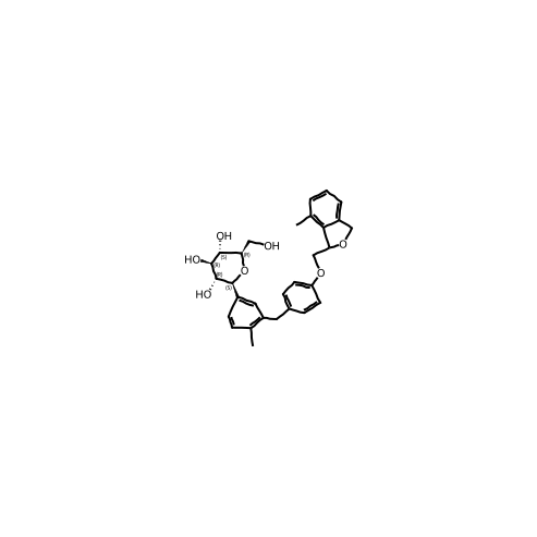 Cc1ccc([C@@H]2O[C@H](CO)[C@@H](O)[C@H](O)[C@H]2O)cc1Cc1ccc(OCC2OCc3cccc(C)c32)cc1